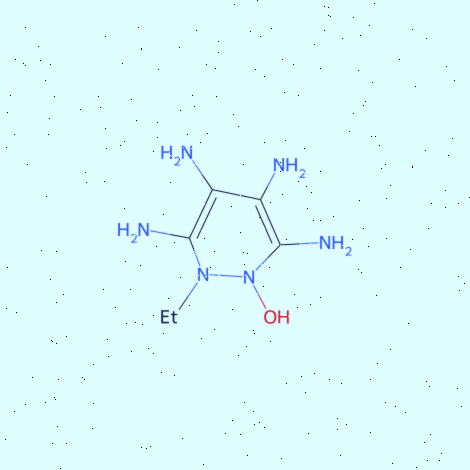 CCN1C(N)=C(N)C(N)=C(N)N1O